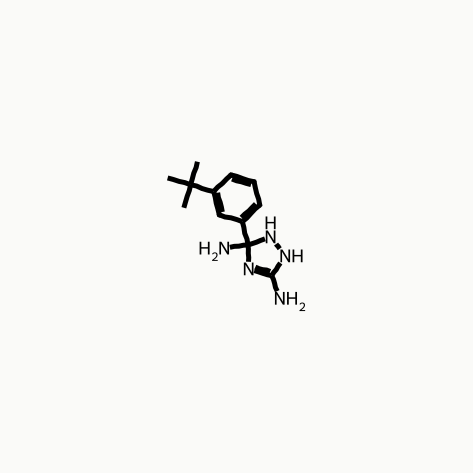 CC(C)(C)c1cccc(C2(N)N=C(N)NN2)c1